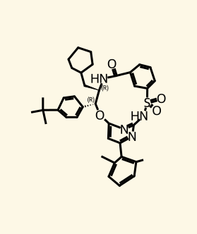 Cc1cccc(C)c1-c1cc2nc(n1)NS(=O)(=O)c1cccc(c1)C(=O)N[C@H](CC1CCCCC1)[C@@H](c1ccc(C(C)(C)C)cc1)O2